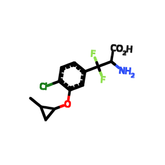 CC1CC1Oc1cc(C(F)(F)C(N)C(=O)O)ccc1Cl